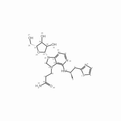 C[C@H](Cc1nccs1)Nc1ncnc2c1N(CCC(N)=O)CN2[C@@H]1O[C@H](CO)C(O)C1O